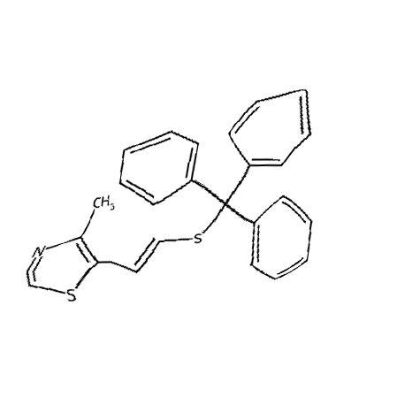 Cc1ncsc1C=CSC(c1ccccc1)(c1ccccc1)c1ccccc1